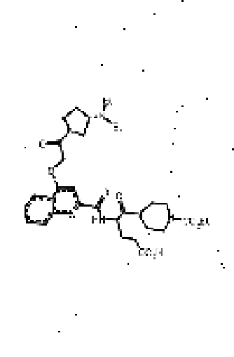 CCOC(=O)N1CCN(C(=O)C(CCC(=O)O)NC(=O)c2cc(OCC(=O)N3CC[C@H](N(CC)CC)C3)c3ccccc3n2)CC1